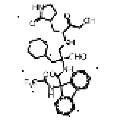 O=C[C@](CN[C@@H](C[C@@H]1CCNC1=O)C(=O)CO)(CC1CCCCC1)NC(=O)C1(NC(=O)C(F)(F)F)c2ccccc2-c2ccccc21